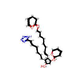 O[C@@H]1C[C@H](OC2CCCCO2)[C@H](C=CCCCCCCOC2CCCCO2)[C@@H]1CCCCCCc1nnn[nH]1